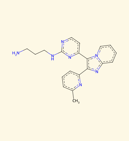 Cc1cccc(-c2nc3ccccn3c2-c2ccnc(NCCCN)n2)n1